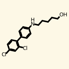 OCCCCCNc1ccc(-c2ccc(Cl)cc2Cl)cc1